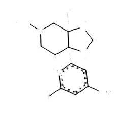 COc1cc(Cl)nc([C@]23CCN(C(=O)O)C[C@H]2OCO3)c1